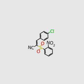 N#C/C(=C/c1ccc(Cl)cc1)S(=O)(=O)c1ccccc1[N+](=O)[O-]